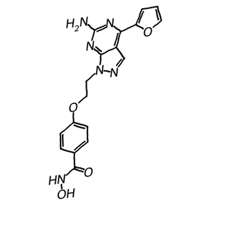 Nc1nc(-c2ccco2)c2cnn(CCOc3ccc(C(=O)NO)cc3)c2n1